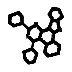 c1ccc(-c2nc(-c3ccccc3)c3c4ccccc4c4nc5ccccc5n4c3n2)cc1